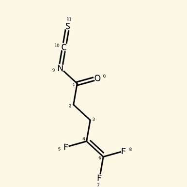 O=C(CCC(F)=C(F)F)N=C=S